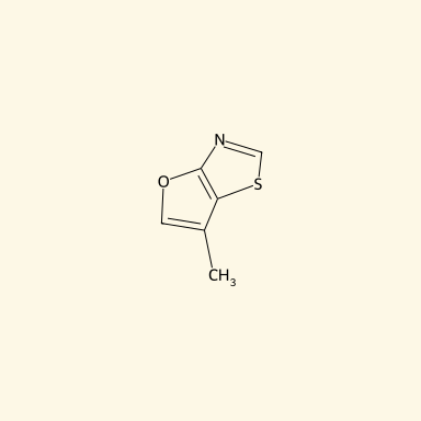 Cc1coc2ncsc12